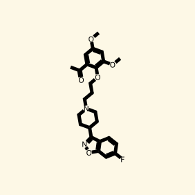 COc1cc(OC)c(OCCCN2CCC(c3noc4cc(F)ccc34)CC2)c(C(C)=O)c1